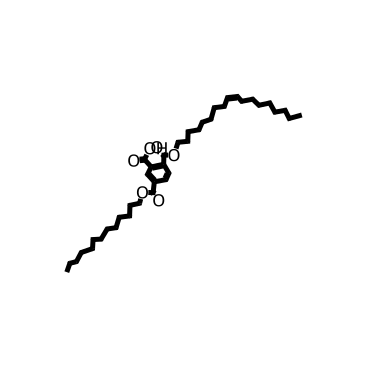 CCCCCCCC/C=C\CCCCCCCCOC(=O)c1ccc(C(=O)OCCCCCCCCCCCCC)cc1C(=O)O